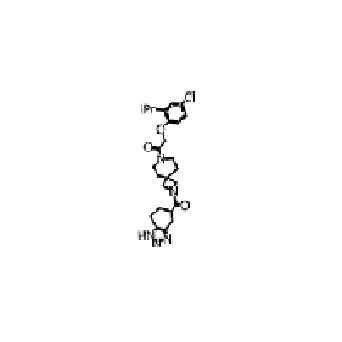 CC(C)c1cc(Cl)ccc1OCC(=O)N1CCC2(CC1)CN(C(=O)C1CCc3[nH]nnc3C1)C2